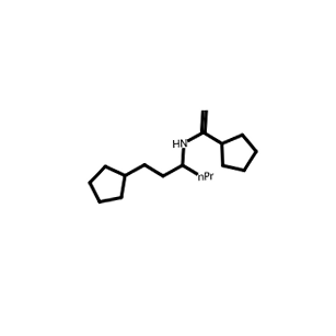 C=C(NC(CCC)CCC1CCCC1)C1CCCC1